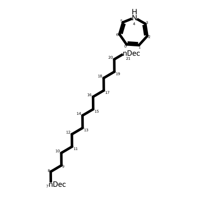 C1=CC=CNC=C1.CCCCCCCCCCCCCCCCCCCCCCCCCCCCCCCCC